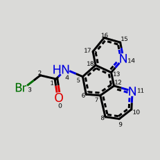 O=C(CBr)Nc1cc2cccnc2c2ncccc12